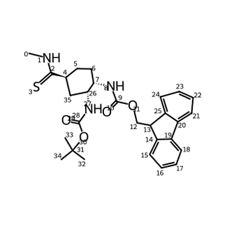 CNC(=S)[C@H]1CC[C@H](NC(=O)OCC2c3ccccc3-c3ccccc32)[C@H](NC(=O)OC(C)(C)C)C1